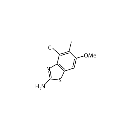 COc1cc2sc(N)nc2c(Cl)c1C